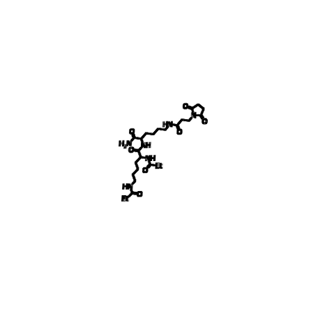 CCC(=O)NCCCCC(NC(=O)CC)C(=O)NC(CCCCNC(=O)CCN1C(=O)CCC1=O)C(N)=O